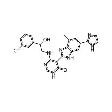 Cc1cc(-c2ncc[nH]2)cc2[nH]c(-c3c(NCC(O)c4cccc(Cl)c4)nc[nH]c3=O)nc12